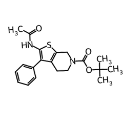 CC(=O)Nc1sc2c(c1-c1ccccc1)CCN(C(=O)OC(C)(C)C)C2